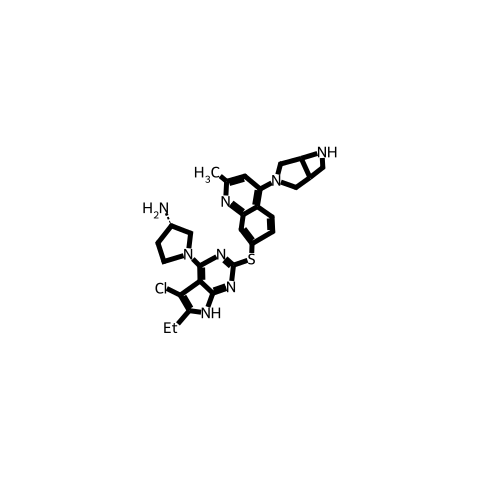 CCc1[nH]c2nc(Sc3ccc4c(N5CC6CNC6C5)cc(C)nc4c3)nc(N3CC[C@H](N)C3)c2c1Cl